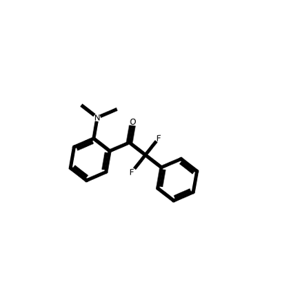 CN(C)c1ccccc1C(=O)C(F)(F)c1ccccc1